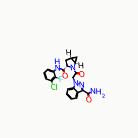 NC(=O)c1nn(CC(=O)N2[C@@H]3C[C@@H]3C[C@H]2C(=O)Nc2cccc(Cl)c2F)c2ccccc12